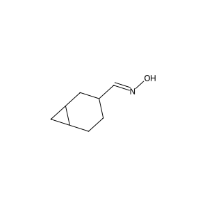 ON=CC1CCC2CC2C1